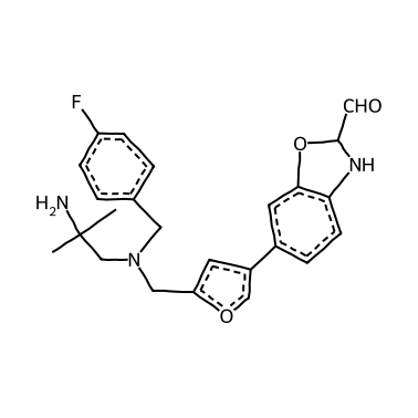 CC(C)(N)CN(Cc1ccc(F)cc1)Cc1cc(-c2ccc3c(c2)OC(C=O)N3)co1